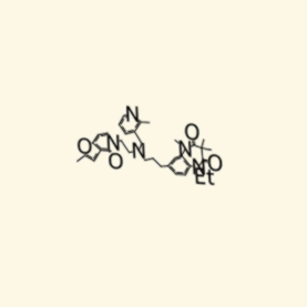 CCN1C(=O)C(C)(C)C(=O)N(C)c2cc(CCCN(CCn3ccc4oc(C)cc4c3=O)Cc3cccnc3C)ccc21